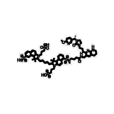 COc1ccc([C@H](C)N2CCN(CCCc3nc4c(cc3CNC(=O)CCCN(C)S(=O)(=O)c3cccc5c6c(ccc35)N(CCCS(=O)(=O)O)/C(=C/C=C/C=C/C3=[N+](CCCS(=O)(=O)O)c5ccc7ccc(S(=O)(=O)O)cc7c5C3(C)C)C6(C)C)CCCN4)C2=O)cn1